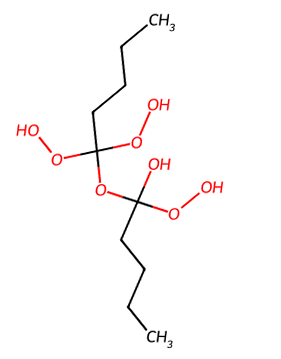 CCCCC(O)(OO)OC(CCCC)(OO)OO